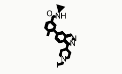 Cc1ccc(C(=O)NC2CC2)cc1-c1ccc2c(C3CCN(CI)CC3)nncc2c1